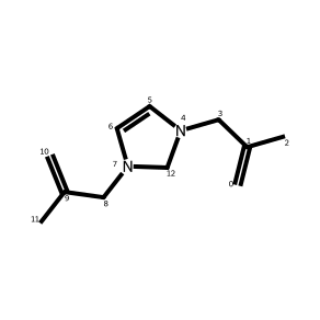 C=C(C)CN1C=CN(CC(=C)C)C1